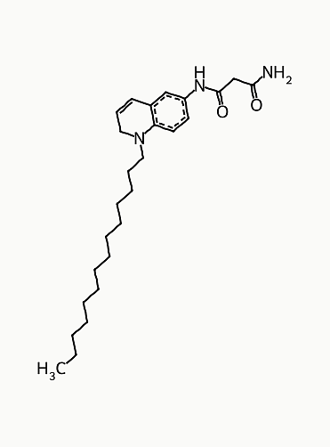 CCCCCCCCCCCCCCN1CC=Cc2cc(NC(=O)CC(N)=O)ccc21